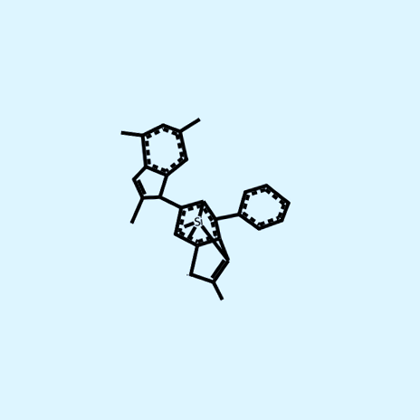 CC1=Cc2c(C)cc(C)cc2C1c1cc2c3c(-c4ccccc4)c1[Si](C)(C)C3=C(C)[CH]2